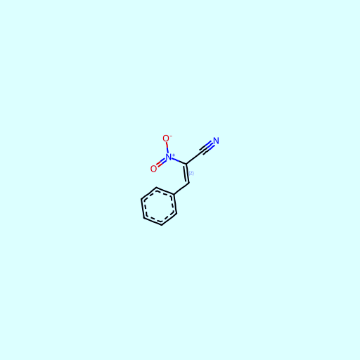 N#C/C(=C/c1ccccc1)[N+](=O)[O-]